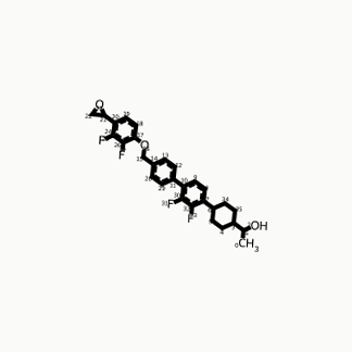 CC(O)C1CCC(c2ccc(-c3ccc(COc4ccc(C5CO5)c(F)c4F)cc3)c(F)c2F)CC1